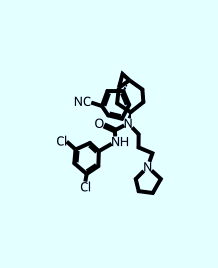 N#Cc1cccc([C@]23CC[C@@H](N(CCCN4CCCC4)C(=O)Nc4cc(Cl)cc(Cl)c4)CC2C3)c1